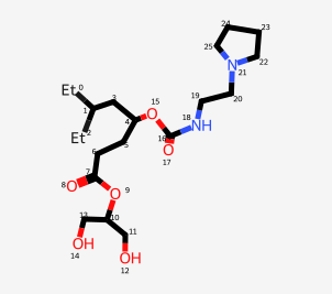 CCC(CC)CC(CCC(=O)OC(CO)CO)OC(=O)NCCN1CCCC1